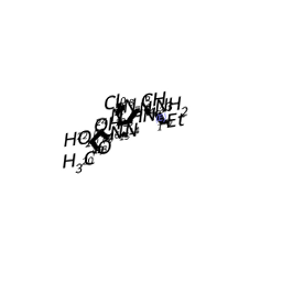 CC/C=C(\N)NN(C)c1nc(Cl)nc2c1ncn2[C@@H]1O[C@H](C)[C@@H](O)[C@H]1O